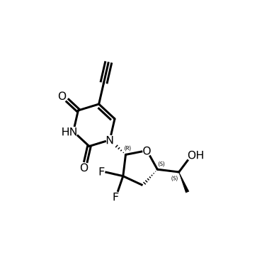 C#Cc1cn([C@@H]2O[C@H]([C@H](C)O)CC2(F)F)c(=O)[nH]c1=O